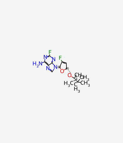 CC(C)(C)[Si](C)(C)OC[C@H]1C=C(F)[C@@H](n2cnc3c(N)nc(F)nc32)O1